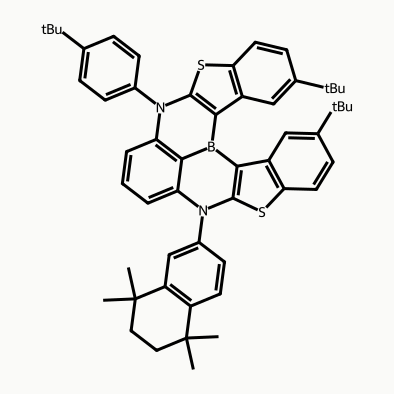 CC(C)(C)c1ccc(N2c3cccc4c3B(c3c2sc2ccc(C(C)(C)C)cc32)c2c(sc3ccc(C(C)(C)C)cc23)N4c2ccc3c(c2)C(C)(C)CCC3(C)C)cc1